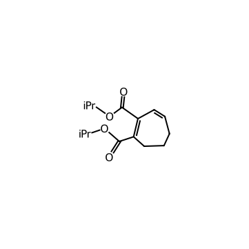 CC(C)OC(=O)C1=C(C(=O)OC(C)C)CCCC=C1